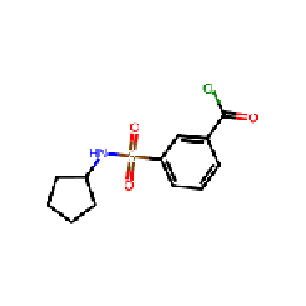 O=C(Cl)c1cccc(S(=O)(=O)NC2CCCC2)c1